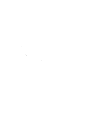 O=C(Nc1nnc(C(F)(F)F)s1)c1c(O)c2ccc(F)cc2oc1=O